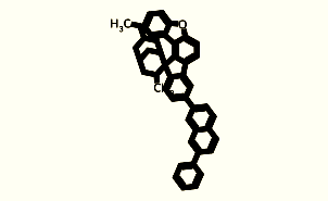 CCC1CC2CC(C)C3(c4ccc(-c5ccc6ccc(-c7ccccc7)cc6c5)cc4-c4ccc5oc6ccccc6c5c43)C(C1)C2